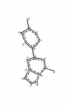 Cc1ccc(-c2cc(C)n3nccc3n2)cc1